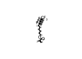 C=C(C)C(=O)OCCCCCCC(F)(F)C(F)(F)C(F)(F)C(F)(F)F